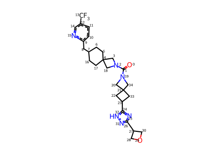 O=C(N1CC2(CCC(Cc3ccc(C(F)(F)F)cn3)CC2)C1)N1CC2(CC(c3nc(C4COC4)n[nH]3)C2)C1